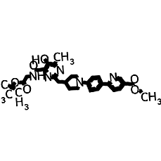 CCOC(=O)c1ccc(-c2ccc(N3CCC(Cc4nc(C)c(O)c(C(=O)NCC(=O)OC(C)(C)C)n4)CC3)cc2)nc1